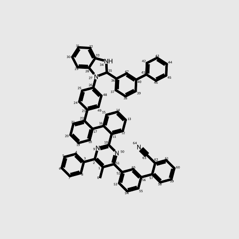 Cc1c(-c2ccccc2)nc(-c2ccccc2-c2ccccc2-c2ccc(N3c4ccccc4NC3c3cccc(-c4ccccc4)c3)cc2)nc1-c1cccc(-c2ccccc2C#N)c1